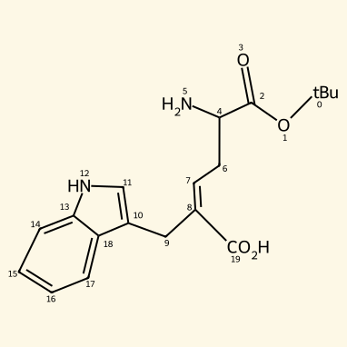 CC(C)(C)OC(=O)C(N)CC=C(Cc1c[nH]c2ccccc12)C(=O)O